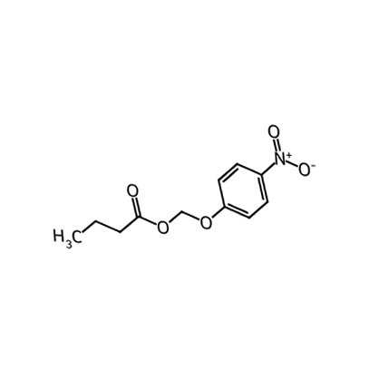 CCCC(=O)OCOc1ccc([N+](=O)[O-])cc1